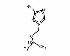 C[SiH](C)OCn1cnc(C(C)(C)C)n1